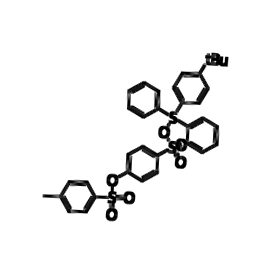 Cc1ccc(S(=O)(=O)Oc2ccc(S(=O)(=O)OS(c3ccccc3)(c3ccccc3)c3ccc(C(C)(C)C)cc3)cc2)cc1